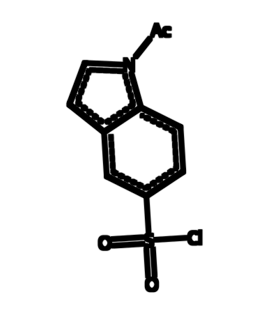 CC(=O)n1ccc2cc(S(=O)(=O)Cl)ccc21